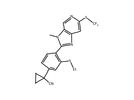 CCSc1cc(C2(C#N)CC2)ccc1-c1nc2cc(SC(F)(F)F)ncc2n1C